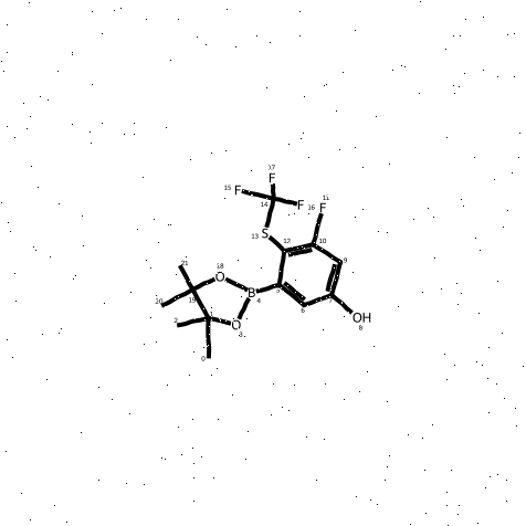 CC1(C)OB(c2cc(O)cc(F)c2SC(F)(F)F)OC1(C)C